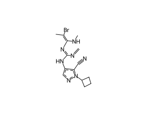 C=N/C(=N\C(NC)=C(/C)Br)Nc1cnn(C2CCC2)c1C#N